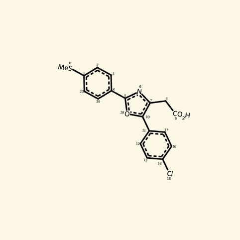 CSc1ccc(-c2nc(CC(=O)O)c(-c3ccc(Cl)cc3)o2)cc1